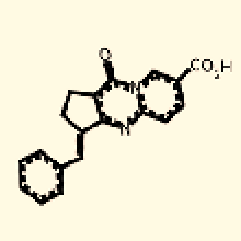 O=C(O)c1ccc2nc3c(c(=O)n2c1)CCC3=Cc1ccccc1